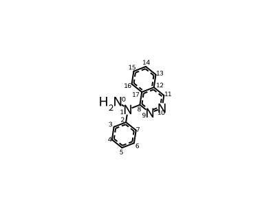 NN(c1ccccc1)c1nncc2ccccc12